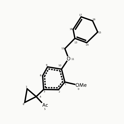 COc1cc(C2(C(C)=O)CC2)ccc1OCC1=CCCC=C1